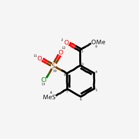 COC(=O)c1cccc(SC)c1S(=O)(=O)Cl